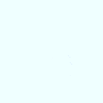 O=S(=O)(c1cc(Cl)cc(Cl)c1)c1nnc(C(F)(F)F)s1